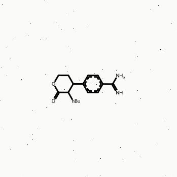 CCCCC1C(=O)OCCC1c1ccc(C(=N)N)cc1